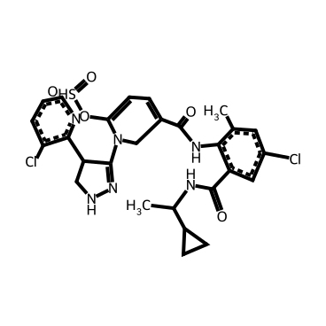 Cc1cc(Cl)cc(C(=O)NC(C)C2CC2)c1NC(=O)C1=CC=C(O[SH](=O)=O)N(C2=NNCC2c2ncccc2Cl)C1